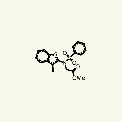 COC(=O)CN(c1sc2ccccc2c1C)S(=O)(=O)c1ccccc1